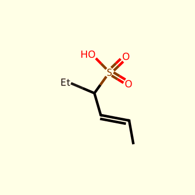 CC=CC(CC)S(=O)(=O)O